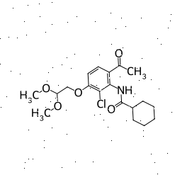 COC(COc1ccc(C(C)=O)c(NC(=O)C2CCCCC2)c1Cl)OC